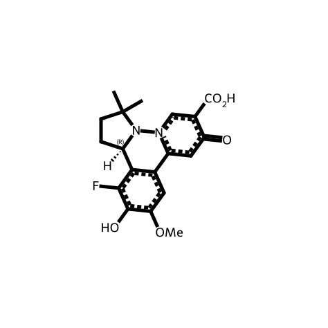 COc1cc2c(c(F)c1O)[C@H]1CCC(C)(C)N1n1cc(C(=O)O)c(=O)cc1-2